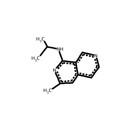 Cc1cc2ccncc2c(NC(C)C)n1